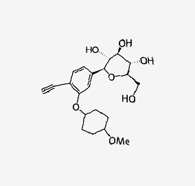 C#Cc1ccc([C@@H]2O[C@H](CO)[C@@H](O)[C@H](O)[C@H]2O)cc1OC1CCC(OC)CC1